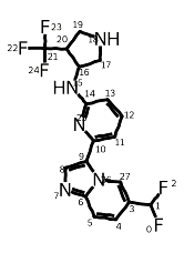 FC(F)c1ccc2ncc(-c3cccc(NC4CNCC4C(F)(F)F)n3)n2c1